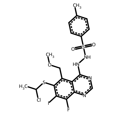 COCc1c(SC(C)Cl)c(I)c(F)c2ncnc(NNS(=O)(=O)c3ccc(C)cc3)c12